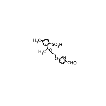 Cc1ccc(S(=O)(=O)O)c(C(C)OCCOc2ccc(C=O)nc2)c1